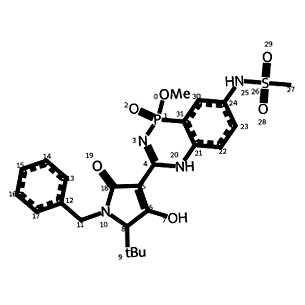 COP1(=O)N=C(C2=C(O)C(C(C)(C)C)N(Cc3ccccc3)C2=O)Nc2ccc(NS(C)(=O)=O)cc21